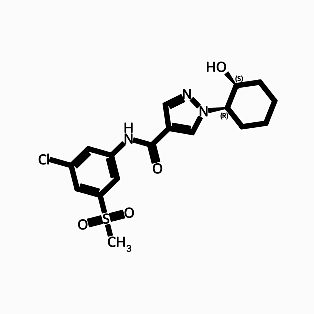 CS(=O)(=O)c1cc(Cl)cc(NC(=O)c2cnn([C@@H]3CCCC[C@@H]3O)c2)c1